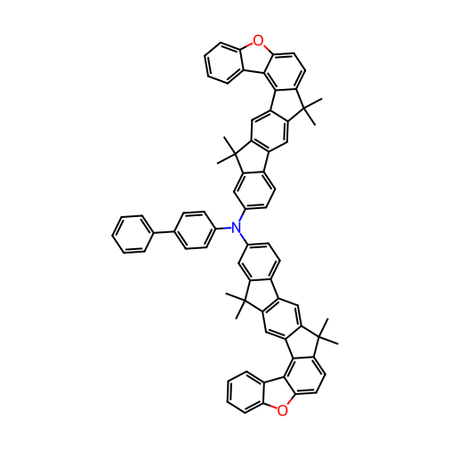 CC1(C)c2cc(N(c3ccc(-c4ccccc4)cc3)c3ccc4c(c3)C(C)(C)c3cc5c(cc3-4)C(C)(C)c3ccc4oc6ccccc6c4c3-5)ccc2-c2cc3c(cc21)-c1c(ccc2oc4ccccc4c12)C3(C)C